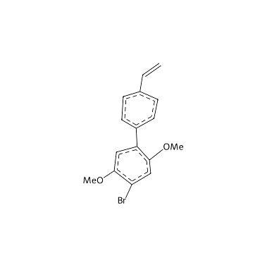 C=Cc1ccc(-c2cc(OC)c(Br)cc2OC)cc1